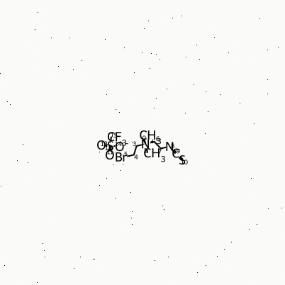 C[N+](C)(CCBr)CCN=C=S.O=S(=O)([O-])C(F)(F)F